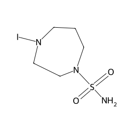 NS(=O)(=O)N1CCCN(I)CC1